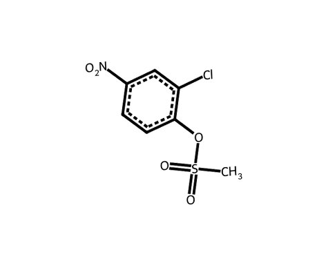 CS(=O)(=O)Oc1ccc([N+](=O)[O-])cc1Cl